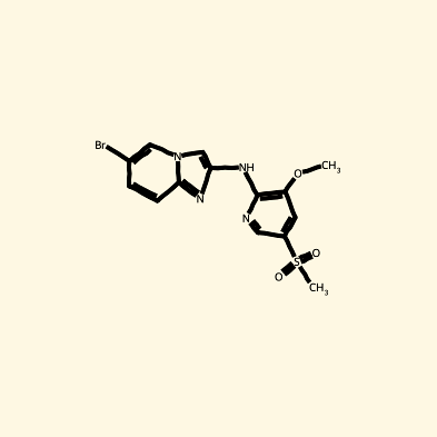 COc1cc(S(C)(=O)=O)cnc1Nc1cn2cc(Br)ccc2n1